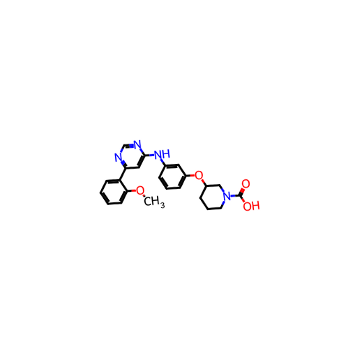 COc1ccccc1-c1cc(Nc2cccc(OC3CCCN(C(=O)O)C3)c2)ncn1